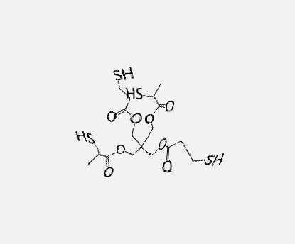 CC(S)C(=O)OCC(COC(=O)CCS)(COC(=O)CCS)COC(=O)C(C)S